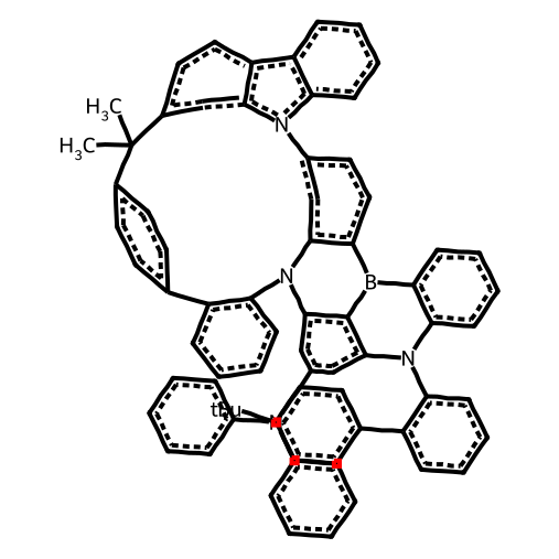 CC(C)(C)c1ccc(-c2ccccc2N2c3ccccc3B3c4ccc5cc4N(c4ccccc4-c4ccc(cc4)C(C)(C)c4ccc6c7ccccc7n-5c6c4)c4cc(N(c5ccccc5)c5ccccc5)cc2c43)cc1